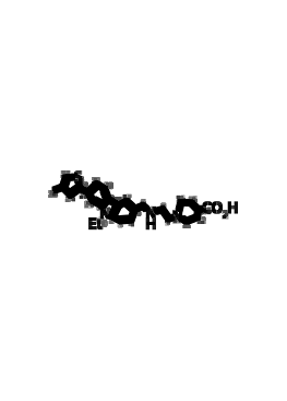 CCn1c2ccc(CNCCN3CCC(C(=O)O)CC3)cc2c2ccc(-c3cc(C)cs3)cc21